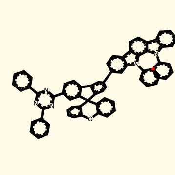 c1ccc(-c2nc(-c3ccccc3)nc(-c3ccc4c(c3)C3(c5ccccc5Oc5ccccc53)c3ccc(-c5ccc6c7ccc8c9ccccc9n(-c9ccccc9)c8c7n(-c7ccccc7)c6c5)cc3-4)n2)cc1